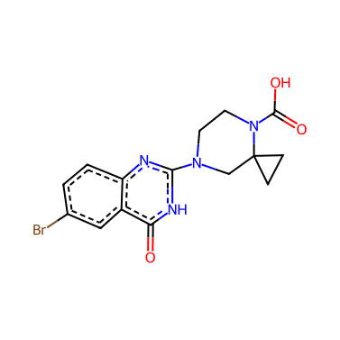 O=C(O)N1CCN(c2nc3ccc(Br)cc3c(=O)[nH]2)CC12CC2